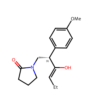 CCC=C(O)[C@H](CN1CCCC1=O)c1ccc(OC)cc1